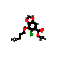 CCCCOc1c(Br)c(C(=O)OC)cc2c1OCO2